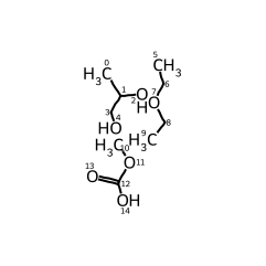 CC(O)CO.CCOCC.COC(=O)O